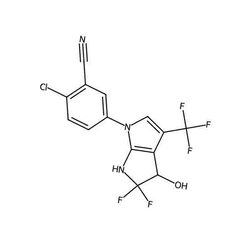 N#Cc1cc(-n2cc(C(F)(F)F)c3c2NC(F)(F)C3O)ccc1Cl